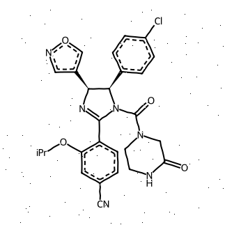 CC(C)Oc1cc(C#N)ccc1C1=N[C@@H](c2cnoc2)[C@@H](c2ccc(Cl)cc2)N1C(=O)N1CCNC(=O)C1